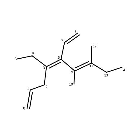 C=CC/C(CC)=C(C=C)\C(C)=C(/C)CC